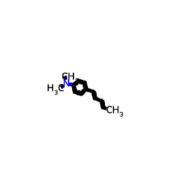 C/C=C/C=C/c1ccc(N(C)C)cc1